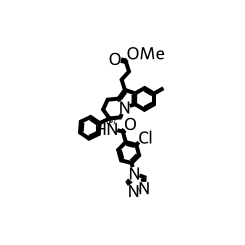 COC(=O)CCc1c2n(c3ccc(C)cc13)C[C@@](NC(=O)c1ccc(-n3cnnc3)cc1Cl)(c1ccccc1)CC2